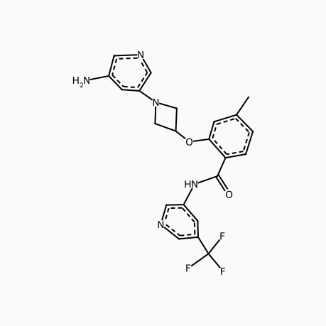 Cc1ccc(C(=O)Nc2cncc(C(F)(F)F)c2)c(OC2CN(c3cncc(N)c3)C2)c1